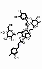 Cc1ccc(/C=C/C(=O)O[C@@H]2C(CO[C@@H]3OC(CO)[C@@H](O)C(O)[C@@H]3O)O[C@@H](OCCc3ccc(O)c(O)c3)[C@]3(CC[C@@H]4OC(C)[C@H](O)C(O)[C@@H]4O)CO[C@H]2C3O)cc1O